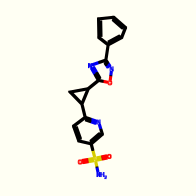 NS(=O)(=O)c1ccc(C2CC2c2nc(-c3ccccc3)no2)nc1